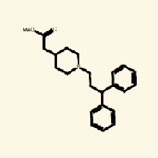 COC(=O)CC1CCN(CCC(c2ccccc2)c2ccccc2)CC1